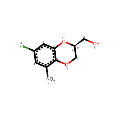 O=[N+]([O-])c1cc(Cl)cc2c1OC[C@H](CO)O2